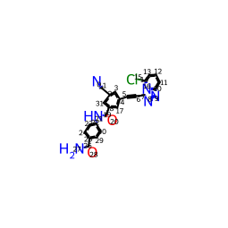 N#Cc1cc(C#Cc2nnc3cccc(Cl)n23)cc(C(=O)Nc2ccc(C(N)=O)cc2)c1